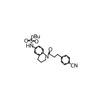 CCCCS(=O)(=O)Nc1ccc2c(c1)CCCN2C(=O)CCc1ccc(C#N)cc1